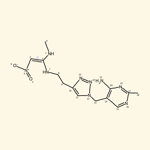 CN/C(=C/[N+](=O)[O-])NCCc1cn(Cc2cnc(C)nc2N)nn1